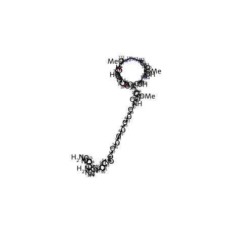 CO[C@H]1C[C@@H]2CC[C@@H](C)[C@@](O)(O2)C(=O)C(=O)N2CCCC[C@H]2C(=O)O[C@H]([C@H](C)C[C@@H]2CC[C@@H](OC(=O)NCCOCCOCCOCCOCCOCCOCCOCCOCC(=O)N3CCc4cc(Cn5nc(-c6ccc7oc(N)nc7c6)c6c(N)ncnc65)ccc4C3)[C@H](OC)C2)C[C@@H](O)[C@H](C)/C=C(\C)[C@@H](O)[C@@H](OC)C(=O)[C@H](C)C[C@H](C)/C=C/C=C/C=C/1C